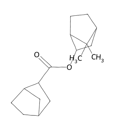 CC1(C)C2CCC1C(OC(=O)C1CC3CCC1C3)C2